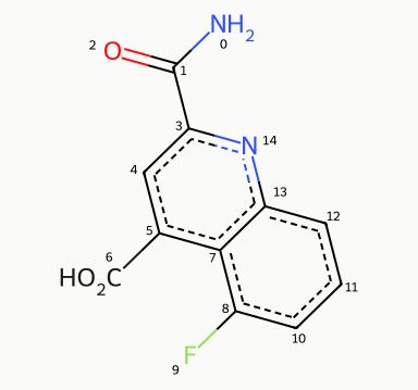 NC(=O)c1cc(C(=O)O)c2c(F)cccc2n1